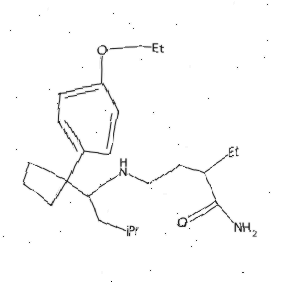 CCOc1ccc(C2(C(CC(C)C)NCCC(CC)C(N)=O)CCC2)cc1